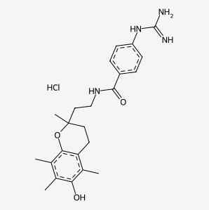 Cc1c(C)c2c(c(C)c1O)CCC(C)(CCNC(=O)c1ccc(NC(=N)N)cc1)O2.Cl